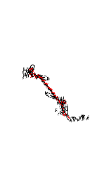 COCc1ccc(C(F)(F)F)c(CNC(=O)Nc2cc(C(=O)NCC3(O)CCN(C(=O)CCCCCCCCCCC(=O)N4CCC(c5ccc(NC6CCC(=O)NC6=O)cc5)CC4)CC3)nn2-c2ccccc2)c1